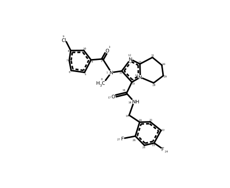 CN(C(=O)c1cccc(Cl)c1)c1nc2n(c1C(=O)NCc1ccc(F)cc1F)CCCC2